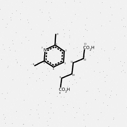 Cc1cccc(C)n1.O=C(O)CCCCC(=O)O